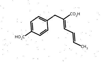 CC=CC=C(Cc1ccc(C(=O)O)cc1)C(=O)O